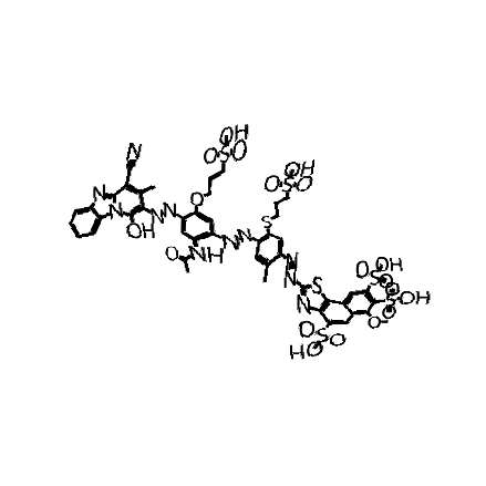 COc1c(S(=O)(=O)O)c(S(=O)(=O)O)cc2c1cc(S(=O)(=O)O)c1nc(N=Nc3cc(SCCCS(=O)(=O)O)c(N=Nc4cc(OCCCS(=O)(=O)O)c(N=Nc5c(C)c(C#N)c6nc7ccccc7n6c5O)cc4NC(C)=O)cc3C)sc12